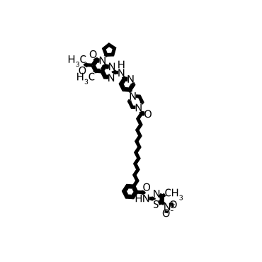 CC(=O)c1c(C)c2cnc(Nc3ccc(N4CCN(C(=O)CCCCCCCCCCCCc5ccccc5C(=O)Nc5nc(C)c([N+](=O)[O-])s5)CC4)cn3)nc2n(C2CCCC2)c1=O